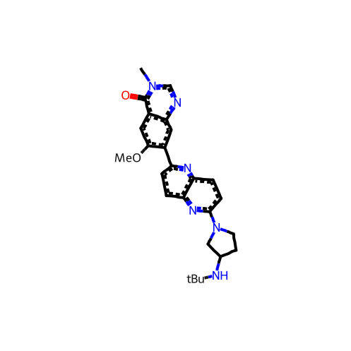 COc1cc2c(=O)n(C)cnc2cc1-c1ccc2nc(N3CCC(NC(C)(C)C)C3)ccc2n1